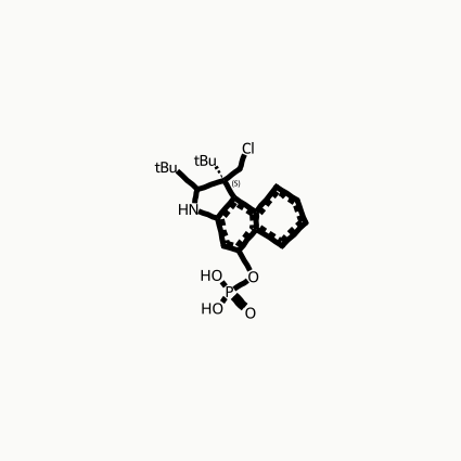 CC(C)(C)C1Nc2cc(OP(=O)(O)O)c3ccccc3c2[C@@]1(CCl)C(C)(C)C